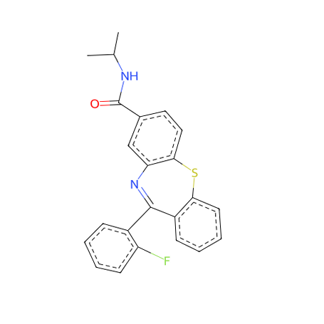 CC(C)NC(=O)c1ccc2c(c1)N=C(c1ccccc1F)c1ccccc1S2